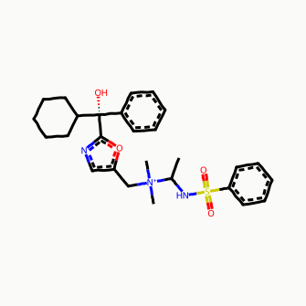 CC(NS(=O)(=O)c1ccccc1)[N+](C)(C)Cc1cnc([C@](O)(c2ccccc2)C2CCCCC2)o1